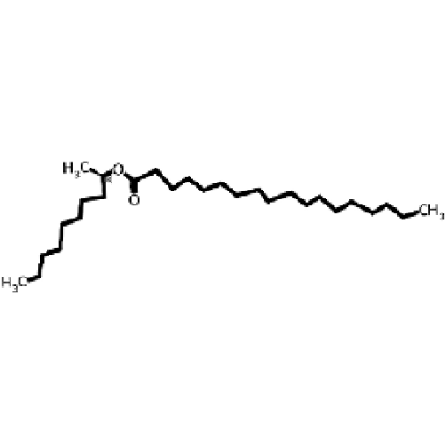 CCCCCCCCCCCCCCCCCC(=O)O[C@H](C)CCCCCCCC